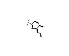 C=C/C=c1/c(F)c([Si](C)(C)C)ccc1=C